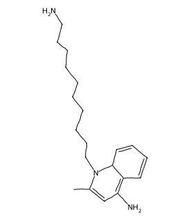 CC1=CC(N)=C2C=CC=CC2N1CCCCCCCCCCN